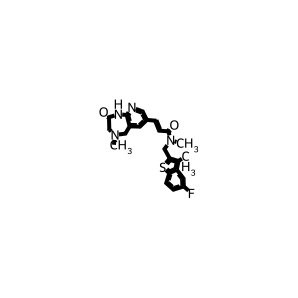 Cc1c(CN(C)C(=O)C=Cc2cnc3c(c2)CN(C)CC(=O)N3)sc2ccc(F)cc12